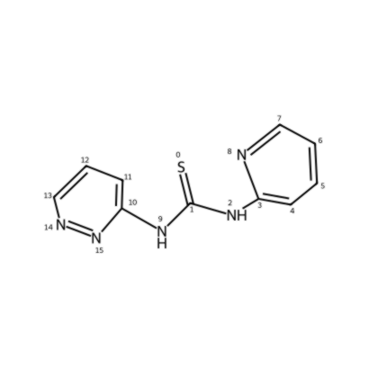 S=C(Nc1ccccn1)Nc1cccnn1